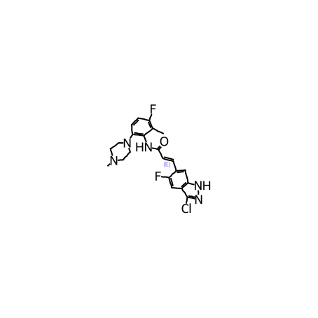 Cc1c(F)ccc(N2CCN(C)CC2)c1NC(=O)/C=C/c1cc2[nH]nc(Cl)c2cc1F